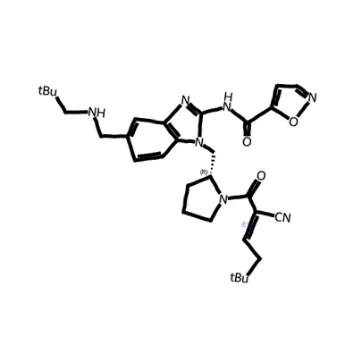 CC(C)(C)C/C=C(\C#N)C(=O)N1CCC[C@@H]1Cn1c(NC(=O)c2ccno2)nc2cc(CNCC(C)(C)C)ccc21